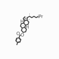 Cc1ccc(C(=O)O[C@H]2CC[C@@]3(C)C(CC[C@H]4[C@@H]5CC[C@H]([C@H](C)CCCC(C)C)[C@@]5(C)CC[C@@H]43)C2)cc1